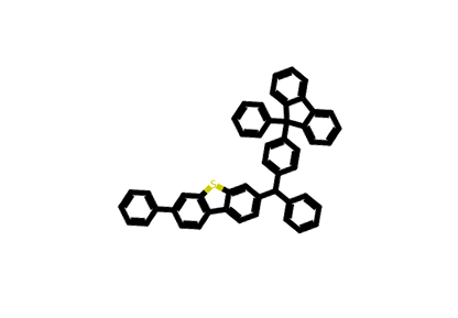 c1ccc(-c2ccc3c(c2)sc2cc(C(c4ccccc4)c4ccc(C5(c6ccccc6)c6ccccc6-c6ccccc65)cc4)ccc23)cc1